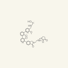 COc1nc(-c2cccc(-c3ccnc(-c4ccc5c(c4)CN(CCNC[C@H]4CCC(=O)N4)C5=O)c3Cl)c2Cl)ccc1CNC[C@@H](C)O